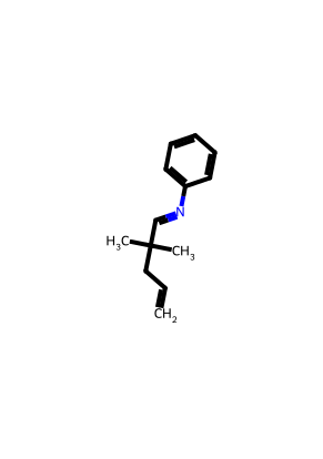 C=CCC(C)(C)C=Nc1ccccc1